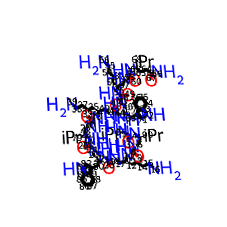 CC(C)NC(=O)N[C@H](CNC(=O)N[C@@H](CCCCN)CNC(=O)N[C@H](CNC(=O)N[C@H](CNC(=O)N[C@@H](CCCCN)CNC(=O)N[C@H](CNC(=O)N[C@@H](CCCCN)CNC(=O)N[C@H](CCC(N)=O)C(C)C)Cc1c[nH]c2ccccc12)C(C)C)Cc1c[nH]c2ccccc12)C(C)C